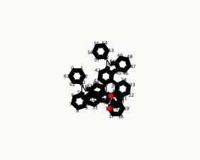 c1ccc(-n2c3ccccc3c3cc(-n4c5ccccc5c5cccc(-c6c(-n7c8ccccc8c8ncccc87)ccc7c6c6ccccc6n7-c6ccccc6)c54)ccc32)cc1